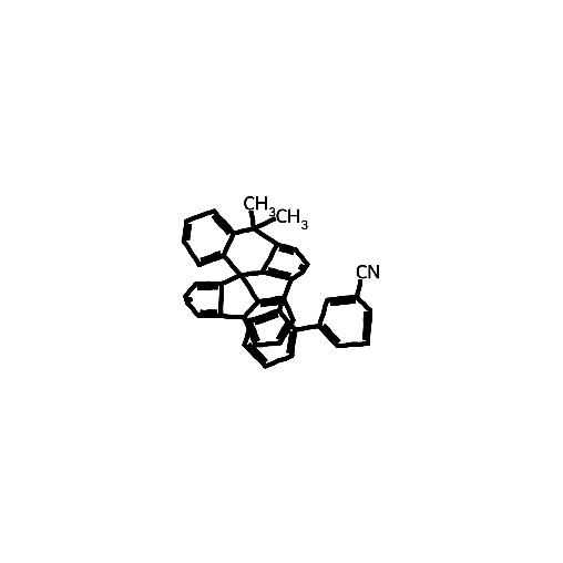 CC1(C)c2ccccc2C2(c3ccccc3-c3ccccc32)c2c(-c3ccccc3-c3cccc(C#N)c3)cccc21